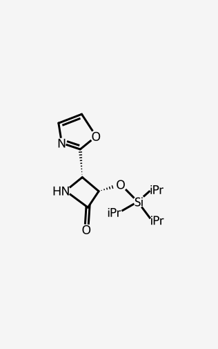 CC(C)[Si](O[C@@H]1C(=O)N[C@@H]1c1ncco1)(C(C)C)C(C)C